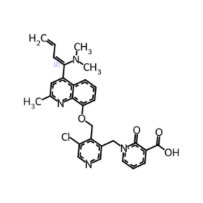 C=C/C=C(/c1cc(C)nc2c(OCc3c(Cl)cncc3Cn3cccc(C(=O)O)c3=O)cccc12)N(C)C